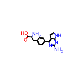 Nc1nc(-c2ccc(CC(N)C(=O)O)cc2)c2cc[nH]c2n1